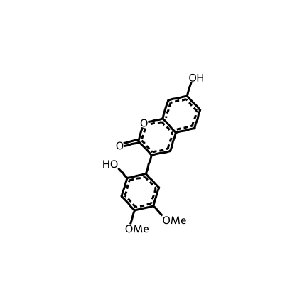 COc1cc(O)c(-c2cc3ccc(O)cc3oc2=O)cc1OC